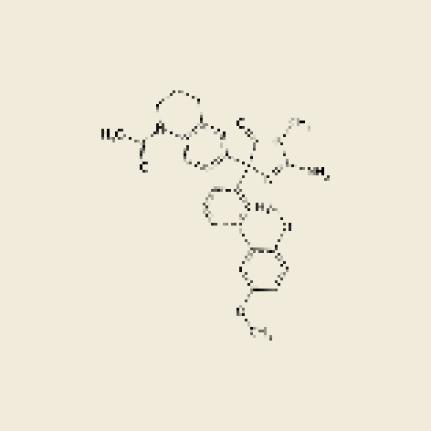 COc1ccc(OC)c(-c2cccc(C3(c4ccc5c(c4)CCCN5C(C)=O)N=C(N)N(C)C3=O)c2)c1